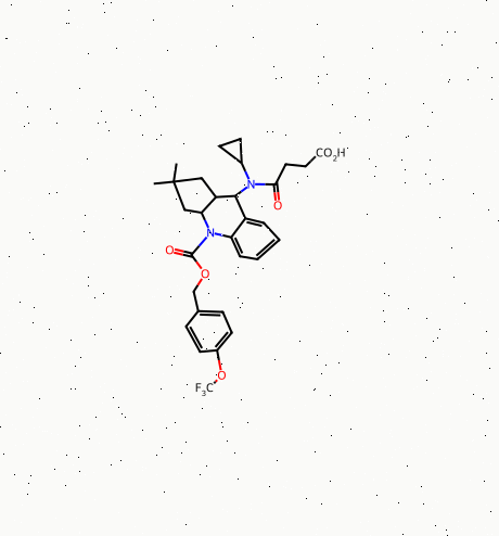 CC1(C)CC2C(C1)N(C(=O)OCc1ccc(OC(F)(F)F)cc1)c1ccccc1C2N(C(=O)CCC(=O)O)C1CC1